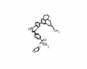 CCN1Cc2cc(-c3cnc4[nH]cc(-c5ccc(C(=O)N(C)C[C@@H]6CCOC6)cc5)c4c3)cc3c2C(CCC3)C1